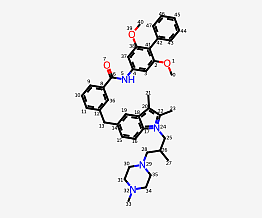 COc1cc(NC(=O)c2cccc(Cc3ccc4c(c3)c(C)c(C)n4CC(C)CN3CCN(C)CC3)c2)cc(OC)c1-c1ccccc1